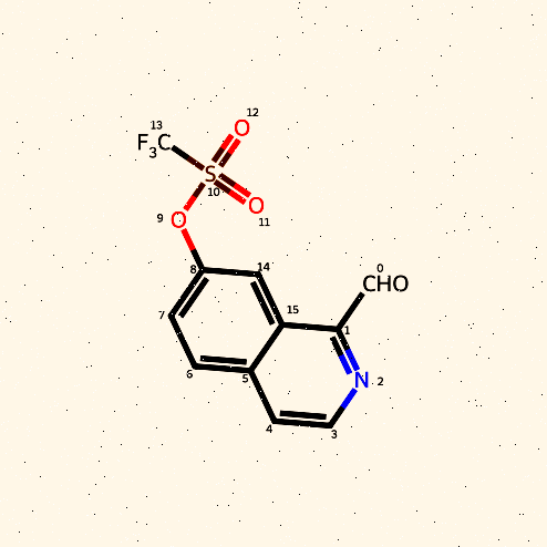 O=Cc1nccc2ccc(OS(=O)(=O)C(F)(F)F)cc12